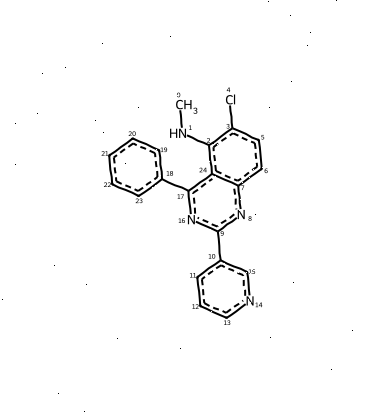 CNc1c(Cl)ccc2nc(-c3cccnc3)nc(-c3ccccc3)c12